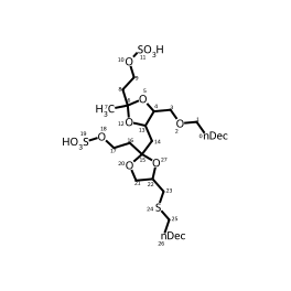 CCCCCCCCCCCOCC1OC(C)(CCOS(=O)(=O)O)OC1CC1(CCOS(=O)(=O)O)OCC(CSCCCCCCCCCCC)O1